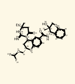 CC[C@]1(C)CC(=O)N([C@@H]2C[C@@H](COC(F)F)Oc3ccc(C(=O)N[C@H]4c5ccccc5OC[C@@]4(C)O)cc32)C(=N)N1